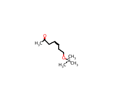 CC(=O)C/C=C\CCO[Si](C)(C)C